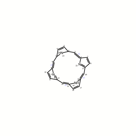 C1=C/C2=C/C3C=CC(/C=C4/C=CC(=N4)/C=c4/cc/c([nH]4)=C/C1=N2)N3